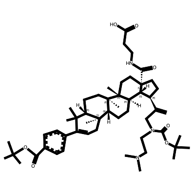 C=C(CN(CCN(C)C)C(=O)OC(C)(C)C)[C@@H]1CC[C@]2(C(=O)NCCC(=O)O)CC[C@]3(C)[C@H](CC[C@@H]4[C@@]5(C)CC=C(c6ccc(C(=O)OC(C)(C)C)cc6)C(C)(C)[C@@H]5CC[C@]43C)[C@@H]12